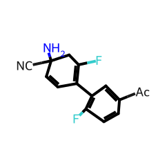 CC(=O)c1ccc(F)c(C2=C(F)CC(N)(C#N)C=C2)c1